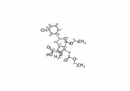 CCOC(=O)Cc1c(C(=O)OCC)c(CCc2cccc(Cl)c2)c(C(=O)O)n1C